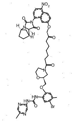 Cc1cnc(NC(=O)Nc2cc(Br)c(C)cc2OC[C@@H]2CN(C(=O)CCCCCC(=O)COc3ccc4c([N+](=O)[O-])ccc(N5C(=O)[C@H]6[C@H]7CC[C@H](C7)N6C5=O)c4c3)CCO2)cn1